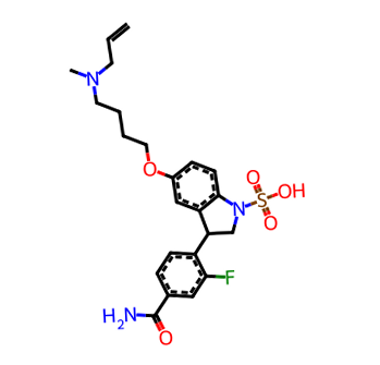 C=CCN(C)CCCCOc1ccc2c(c1)C(c1ccc(C(N)=O)cc1F)CN2S(=O)(=O)O